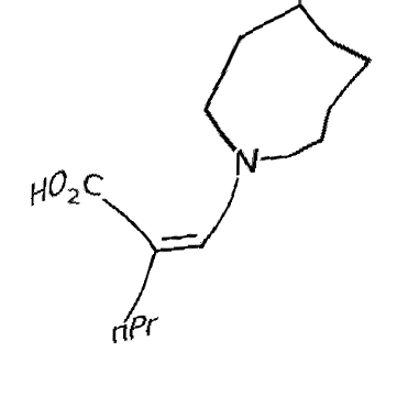 CCCC(=CN1CCCCC1)C(=O)O